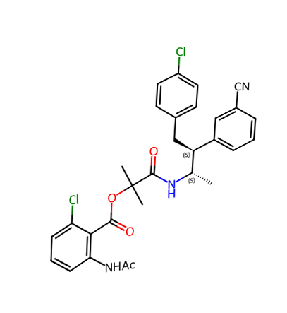 CC(=O)Nc1cccc(Cl)c1C(=O)OC(C)(C)C(=O)N[C@@H](C)[C@@H](Cc1ccc(Cl)cc1)c1cccc(C#N)c1